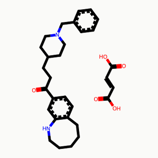 O=C(CCC1CCN(Cc2ccccc2)CC1)c1ccc2c(c1)NCCCCC2.O=C(O)C=CC(=O)O